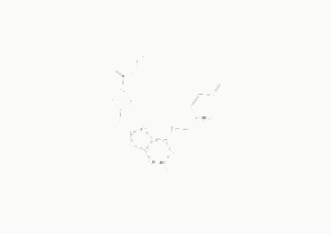 C=N/C=C\C(=C/C)CNc1nc(Cl)nc2[nH]c(OC3CN(C(=O)OC(C)(C)C)C3)nc12